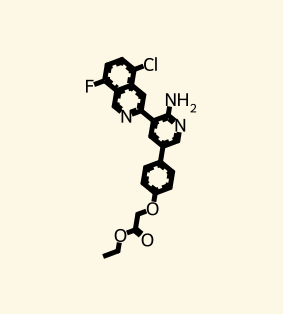 CCOC(=O)COc1ccc(-c2cnc(N)c(-c3cc4c(Cl)ccc(F)c4cn3)c2)cc1